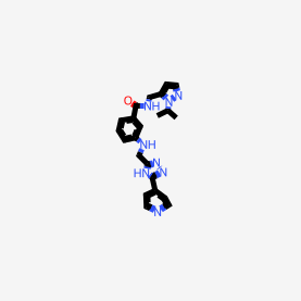 CC(C)n1nccc1CNC(=O)c1cccc(NCc2nnc(-c3ccncc3)[nH]2)c1